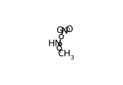 Cc1ccc2[nH]c(-c3ccc(C(=O)N4CCOCC4)cc3)cc2c1